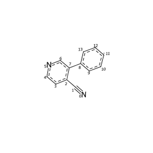 N#Cc1ccncc1-c1cc[c]cc1